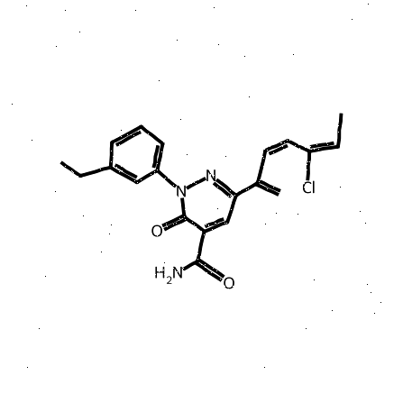 C=C(/C=C\C(Cl)=C/C)c1cc(C(N)=O)c(=O)n(-c2cccc(CC)c2)n1